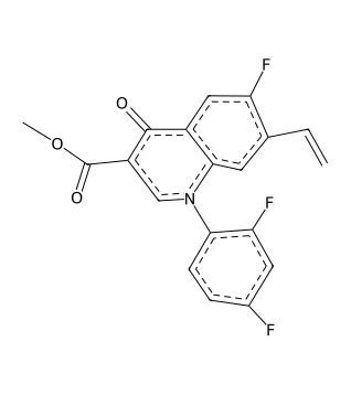 C=Cc1cc2c(cc1F)c(=O)c(C(=O)OC)cn2-c1ccc(F)cc1F